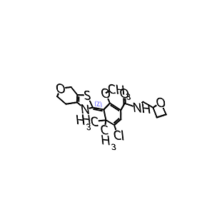 COC1=C(C(=O)NCC2CCO2)C=C(Cl)C(C)(C)/C1=C1\NC2=C(COCC2)S1